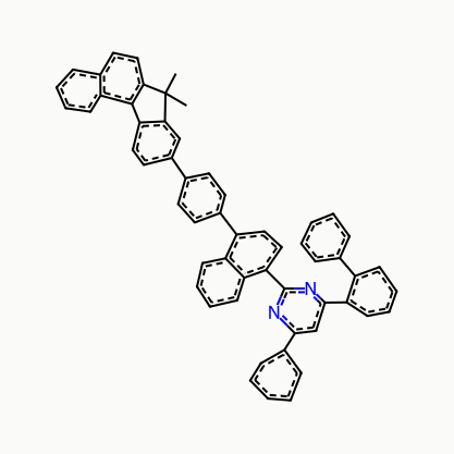 CC1(C)c2cc(-c3ccc(-c4ccc(-c5nc(-c6ccccc6)cc(-c6ccccc6-c6ccccc6)n5)c5ccccc45)cc3)ccc2-c2c1ccc1ccccc21